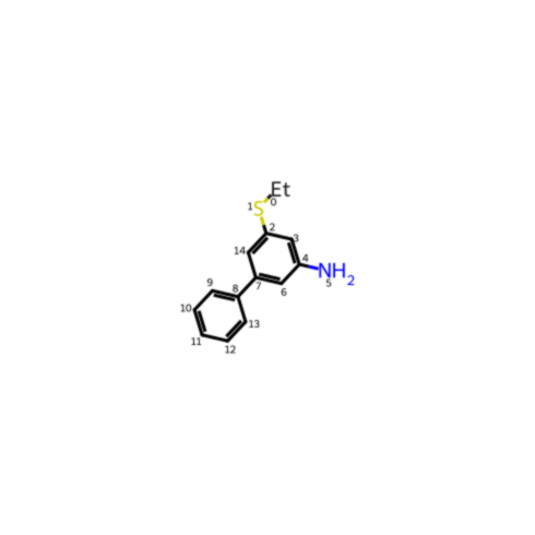 CCSc1cc(N)cc(-c2ccccc2)c1